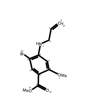 C=CCNc1cc(OC)c(C(=O)OC)cc1Br